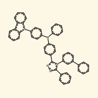 c1ccc(-c2cccc(-n3c(-c4ccccc4)nnc3-c3ccc(N(c4ccccc4)c4ccc(-n5c6ccccc6c6ccccc65)cc4)cc3)c2)cc1